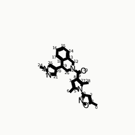 Cc1cc(-n2c(C)cc(C(=O)N3Cc4ccccc4C(c4cnn(C)c4)C3)c2C)no1